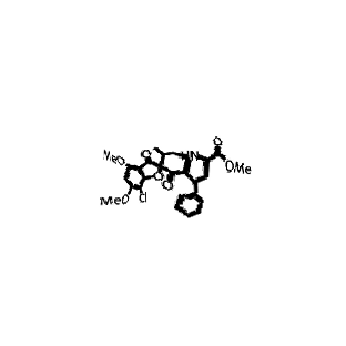 COC(=O)C1=CC(c2ccccc2)C2=C(CC(C)C3(Oc4c(Cl)c(OC)cc(OC)c4C3=O)C2=O)N1